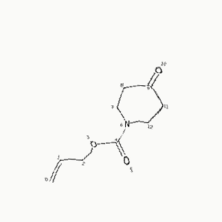 C=CCOC(=O)N1CCC(=O)CC1